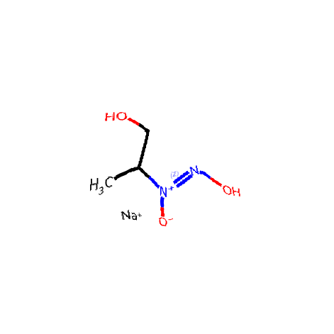 CC(CO)/[N+]([O-])=N/O.[Na+]